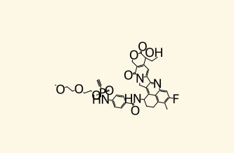 C#CP(=O)(Nc1ccc(C(=O)NC2CCc3c(C)c(F)cc4nc5c(c2c34)Cn2c-5cc3c(c2=O)COC(=O)C3(O)CC)cc1)OCCOCCOC